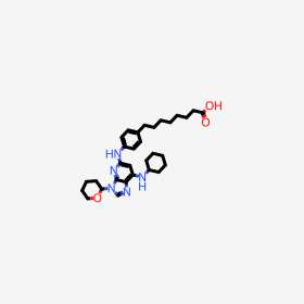 O=C(O)CCCCCCCc1ccc(Nc2cc(NC3CCCCC3)c3ncn(C4CCCCO4)c3n2)cc1